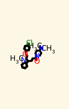 CN(C)C1CCN(C(=O)C=Cc2c(COc3ccc(Cl)cc3)n(C)c3ccccc23)CC1